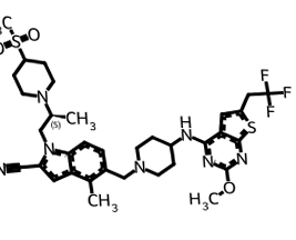 COc1nc(NC2CCN(Cc3ccc4c(cc(C#N)n4C[C@H](C)N4CCC(S(C)(=O)=O)CC4)c3C)CC2)c2cc(CC(F)(F)F)sc2n1